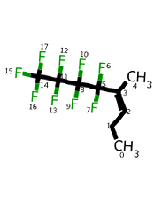 CCC=C(C)C(F)(F)C(F)(F)C(F)(F)C(F)(F)F